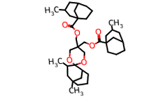 CC1CC2CCCC(C(=O)OCC3(COC(=O)C45CCCC(CC(C)C4)C5)COC4(OC3)C(C)CC3(C)CCCC4C3)(C1)C2